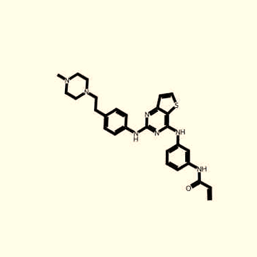 C=CC(=O)Nc1cccc(Nc2nc(Nc3ccc(CCN4CCN(C)CC4)cc3)nc3ccsc23)c1